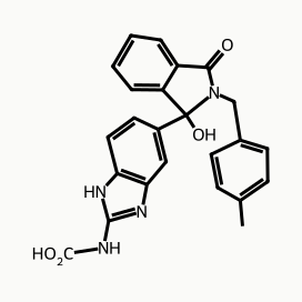 Cc1ccc(CN2C(=O)c3ccccc3C2(O)c2ccc3[nH]c(NC(=O)O)nc3c2)cc1